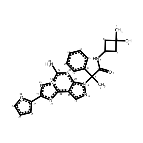 CC1(O)CC(NC(=O)C(C)(c2ccccc2)n2ncc3c2nc(N)n2nc(-c4ccco4)nc32)C1